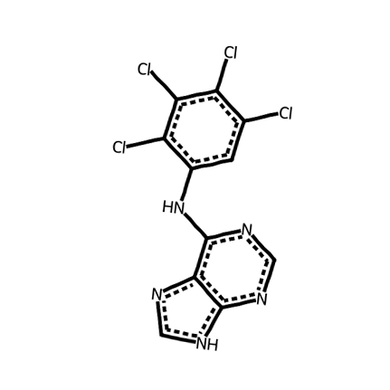 Clc1cc(Nc2ncnc3[nH]cnc23)c(Cl)c(Cl)c1Cl